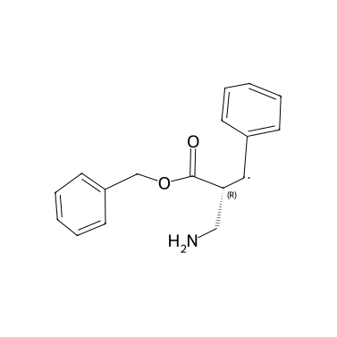 NC[C@@H]([CH]c1ccccc1)C(=O)OCc1ccccc1